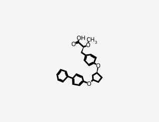 CO[C@@H](Cc1ccc(O[C@H]2CCC(Oc3ccc(-c4ccccc4)cc3)C2)cc1)C(=O)O